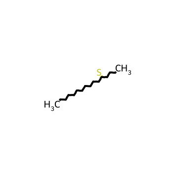 CCCCCCCCCCCC(=S)CCCC